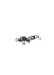 CN1CCc2ccc(C(=O)N3C[C@H](NC(=O)c4ccc(Cl)s4)[C@@H](O)C3)cc2CC1